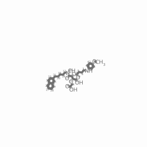 COc1ccc(NCCCCOC(C(=O)N(C)CCCCCc2ccc3ccccc3c2)C(OCC(=O)O)C(=O)O)cc1